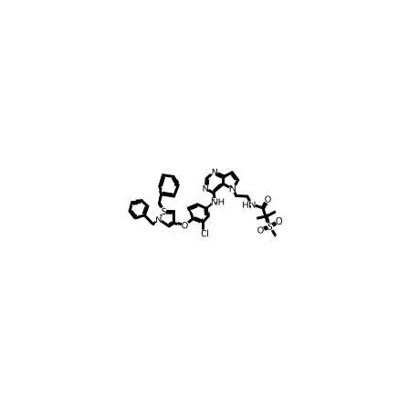 CC(C)(C(=O)NCCn1ccc2ncnc(Nc3ccc(OC4=CN(Cc5ccccc5)S(Cc5ccccc5)=C4)c(Cl)c3)c21)S(C)(=O)=O